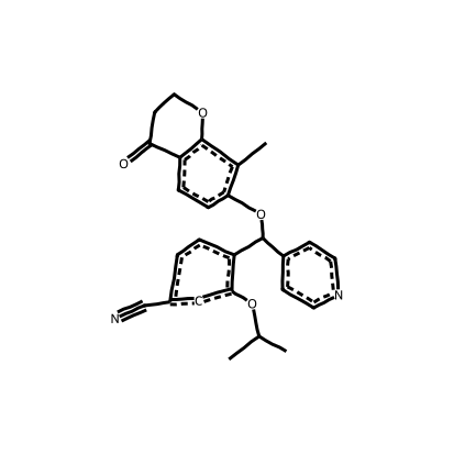 Cc1c(OC(c2ccncc2)c2ccc(C#N)cc2OC(C)C)ccc2c1OCCC2=O